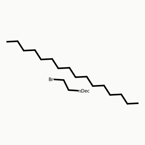 CCCCCCCCCCCCBr.CCCCCCCCCCCCCCCC